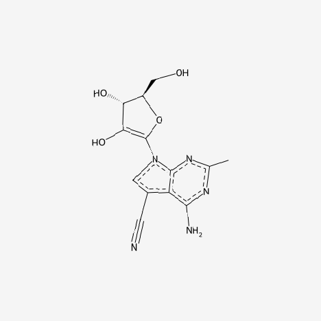 Cc1nc(N)c2c(C#N)cn(C3=C(O)[C@H](O)[C@@H](CO)O3)c2n1